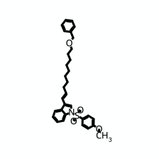 COc1ccc(S(=O)(=O)n2cc(C=CCCCCCCCCOCc3ccccc3)c3ccccc32)cc1